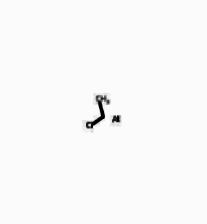 CCCl.[Al]